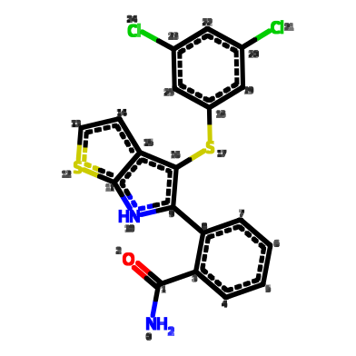 NC(=O)c1ccccc1-c1[nH]c2sccc2c1Sc1cc(Cl)cc(Cl)c1